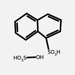 O=S(=O)(O)O.O=S(=O)(O)c1cccc2ccccc12